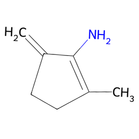 C=C1CCC(C)=C1N